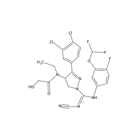 CCN(C(=O)CO)C1CN(/C(=N\C#N)Nc2ccc(F)c(OC(F)F)c2)N=C1c1ccc(Cl)c(Cl)c1